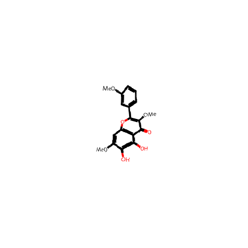 COc1cccc(-c2oc3cc(OC)c(O)c(O)c3c(=O)c2OC)c1